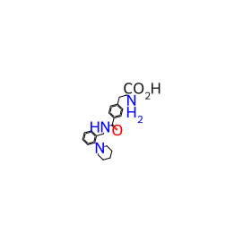 NC(Cc1ccc(C(=O)NCc2ccccc2N2CCCCC2)cc1)C(=O)O